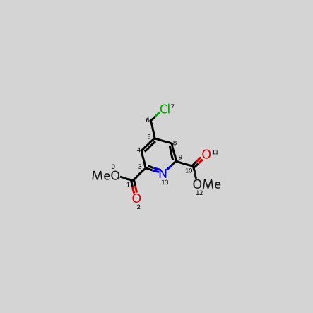 COC(=O)c1cc(CCl)cc(C(=O)OC)n1